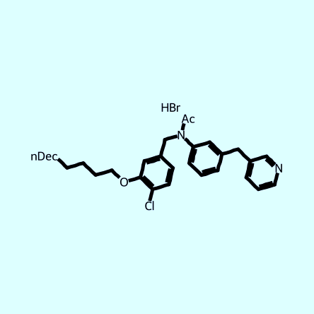 Br.CCCCCCCCCCCCCCOc1cc(CN(C(C)=O)c2cccc(Cc3cccnc3)c2)ccc1Cl